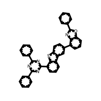 c1ccc(-c2nc(-c3ccccc3)nc(-c3cccc4c3sc3ccc(-c5cccc6oc(-c7ccccc7)nc56)cc34)n2)cc1